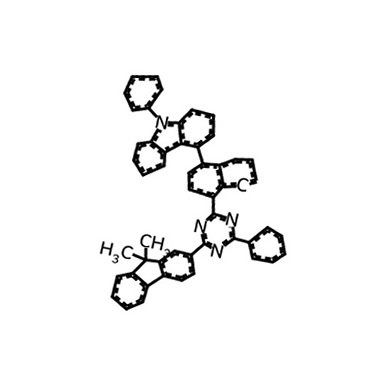 CC1(C)c2ccccc2-c2ccc(-c3nc(-c4ccccc4)nc(-c4ccc(-c5cccc6c5c5ccccc5n6-c5ccccc5)c5ccccc45)n3)cc21